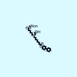 CCCCCCCCCOC(=O)CCCCCN(CCO)CCCCCCCC(=O)OC1CCC(C2CCCCC2)CC1